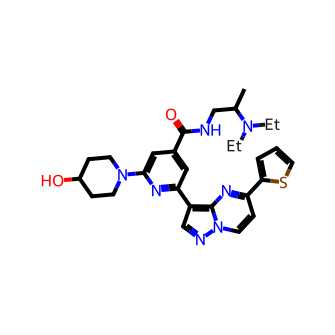 CCN(CC)C(C)CNC(=O)c1cc(-c2cnn3ccc(-c4cccs4)nc23)nc(N2CCC(O)CC2)c1